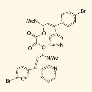 CNC(C=C(c1ccc(Br)cc1)c1cccnc1)OC(=O)C(=O)OC(C=C(c1ccc(Br)cc1)c1cccnc1)NC